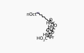 CCCCCCCC/C=C\CCCCCCCC(=O)N[C@@H](C)C(=O)N[C@@H](C)C(=O)N1CCC[C@H]1C(=O)N[C@H](C(=O)O)C(C)C